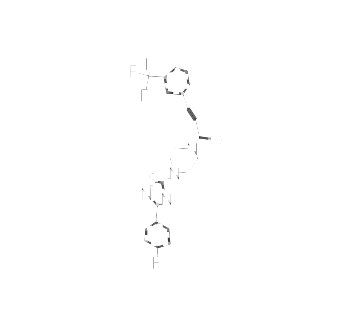 O=C(C#Cc1cccc(C(F)(F)F)c1)N1CCN(c2nc(-c3ccc(F)cc3)ns2)CC1